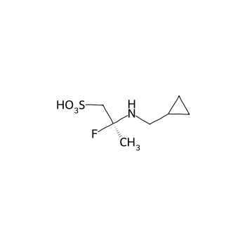 C[C@](F)(CS(=O)(=O)O)NCC1CC1